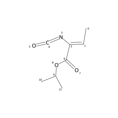 CC=C(N=C=O)C(=O)OC(C)C